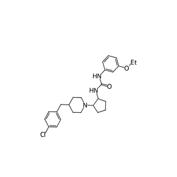 CCOc1cccc(NC(=O)NC2CCCC2N2CCC(Cc3ccc(Cl)cc3)CC2)c1